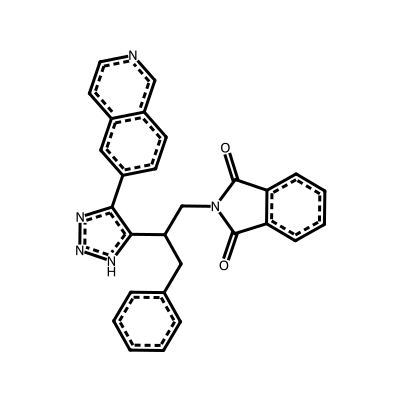 O=C1c2ccccc2C(=O)N1CC(Cc1ccccc1)c1[nH]nnc1-c1ccc2cnccc2c1